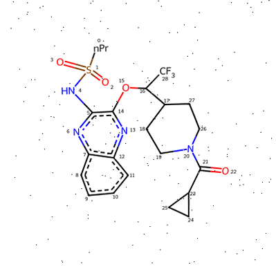 CCCS(=O)(=O)Nc1nc2ccccc2nc1OC(C1CCN(C(=O)C2CC2)CC1)C(F)(F)F